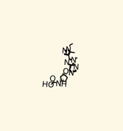 CCn1ncc(-c2nc3c(O[C@H]4CC[C@H](NC(=O)O)C4)ncnc3n2C)c1C